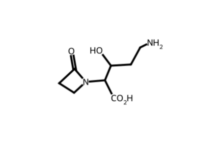 NCCC(O)C(C(=O)O)N1CCC1=O